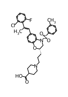 C/C(=C\c1ccc2c(c1)N(S(=O)(=O)c1cccc(C)c1)C[C@H](CCCN1CCC(C(=O)O)CC1)O2)c1c(F)cccc1Cl